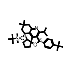 CC(C)c1nc2c(c3c1[C@@H](c1ccc(C(C)(C)C)cc1)OC31CCCC1I)[C@@H](O[Si](C)(C)C(C)(C)C)CC(C)(C)C2